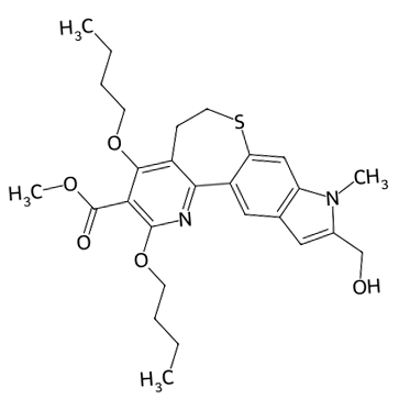 CCCCOc1nc2c(c(OCCCC)c1C(=O)OC)CCSc1cc3c(cc1-2)cc(CO)n3C